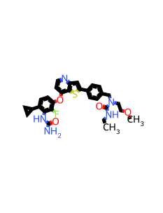 CCNC(=O)N(CCOC)Cc1ccc(-c2cc3nccc(Oc4ccc(C5CC5)c(NC(N)=O)c4F)c3s2)cc1